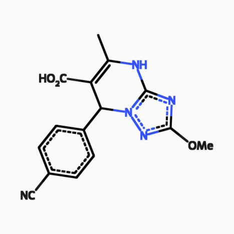 COc1nc2n(n1)C(c1ccc(C#N)cc1)C(C(=O)O)=C(C)N2